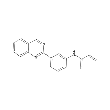 C=CC(=O)Nc1cccc(-c2ncc3ccccc3n2)c1